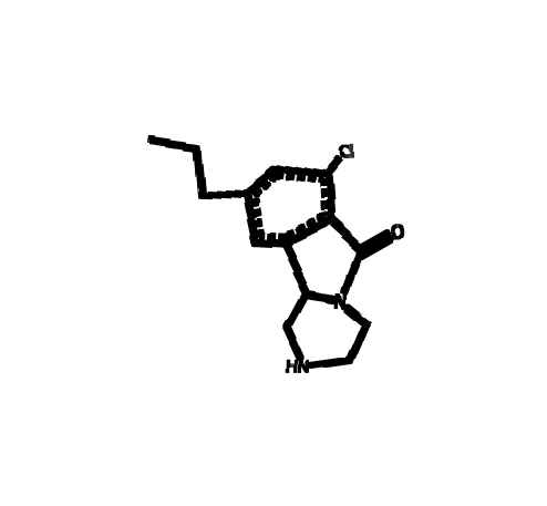 CCCc1cc(Cl)c2c(c1)C1CNCCN1C2=O